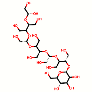 OCC1O[C@@H](O[C@@H](CO)C(CO)O[C@H](CO)O[C@@H](CO)C(CO)O[C@H](CO)O[C@@H](CO)C(CO)O[C@@H](O)CO)C(O)C(O)[C@@H]1O